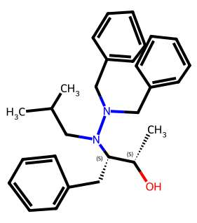 CC(C)CN([C@@H](Cc1ccccc1)[C@H](C)O)N(Cc1ccccc1)Cc1ccccc1